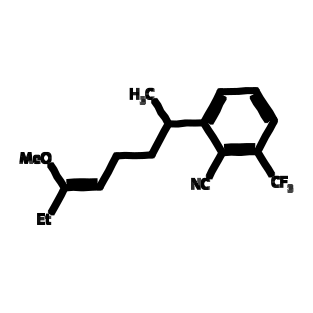 CCC(=CCCC(C)c1cccc(C(F)(F)F)c1C#N)OC